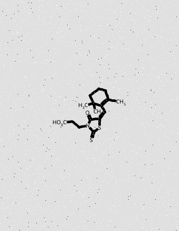 CC1=C(C=C2SC(=S)N(CCC(=O)O)C2=O)C(C)(C)CCC1